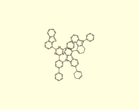 C1=CCCC(c2ccc3c4c(C5=CCCc6c5c5ccccc5n6-c5ccccc5)cccc4n(-c4cc(-c5ccccc5)ccc4-c4nc(-c5ccccc5)nc(-c5cccc6c5sc5ccccc56)n4)c3c2)=C1